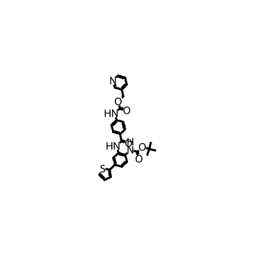 CC(C)(C)OC(=O)Nc1ccc(-c2cccs2)cc1NC(=O)c1ccc(NC(=O)OCc2cccnc2)cc1